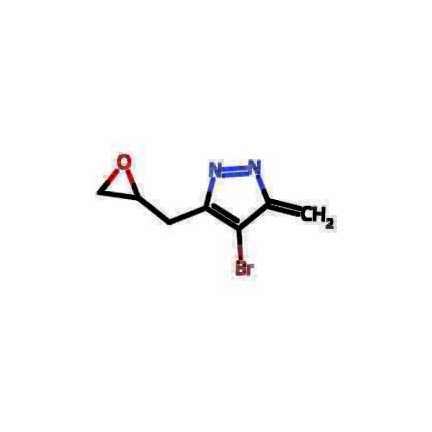 C=C1N=NC(CC2CO2)=C1Br